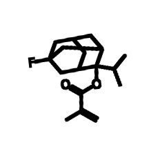 C=C(C)C(=O)OC1(C(C)C)C2CC3CC1CC(F)(C3)C2